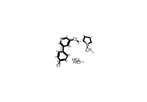 CN1CCC[C@H]1COc1cncc(-c2ccc(Cl)cc2)c1.Cl.Cl